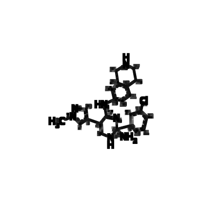 Cn1cc(C2=CNC(N)(c3cccc(Cl)c3)N=C2Nc2ccc3c(c2)CNCC3)cn1